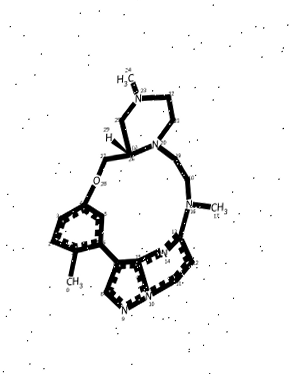 Cc1ccc2cc1-c1cnn3ccc(nc13)N(C)CCN1CCN(C)C[C@H]1CO2